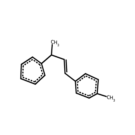 Cc1ccc(C=CC(C)c2ccccc2)cc1